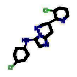 Clc1ccc(Nc2cnc3cc(-c4ncccc4Cl)cnn23)cc1